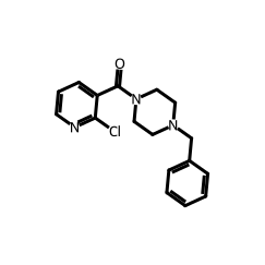 O=C(c1cccnc1Cl)N1CCN(Cc2ccccc2)CC1